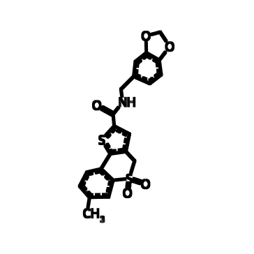 Cc1ccc2c(c1)S(=O)(=O)Cc1cc(C(=O)NCc3ccc4c(c3)OCO4)sc1-2